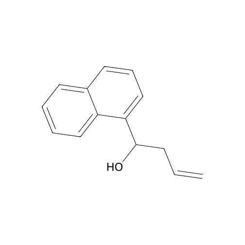 C=CCC(O)c1cccc2ccccc12